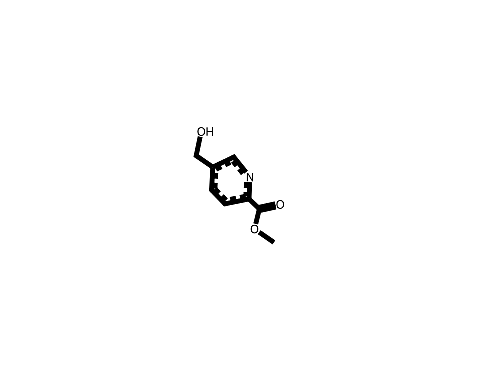 COC(=O)c1ccc(CO)cn1